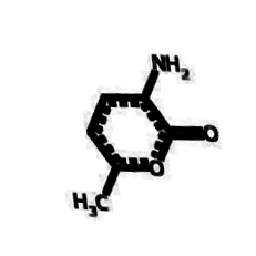 Cc1ccc(N)c(=O)o1